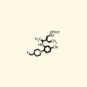 C=C/C(=C\NCCCCC)C(=C)Nc1cc(C#N)ccc1N1CCC(CF)CC1